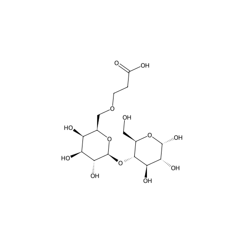 O=C(O)CCOC[C@H]1O[C@@H](O[C@H]2[C@H](O)[C@@H](O)[C@@H](O)O[C@@H]2CO)[C@H](O)[C@@H](O)[C@H]1O